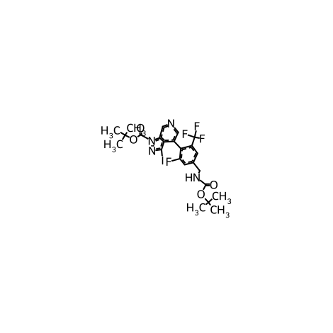 CC(C)(C)OC(=O)NCc1cc(F)c(-c2cncc3c2c(I)nn3C(=O)OC(C)(C)C)c(C(F)(F)F)c1